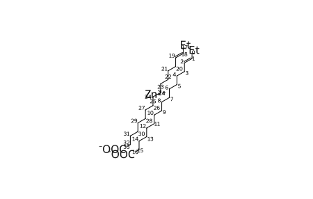 CCC=CCCCCCCCCCCCCCC(=O)[O-].CCC=CCCCCCCCCCCCCCC(=O)[O-].[Zn+2]